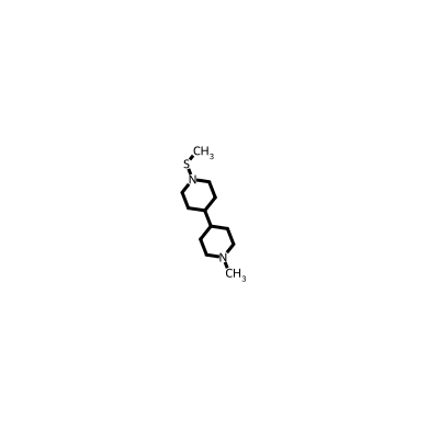 CSN1CCC(C2CCN(C)CC2)CC1